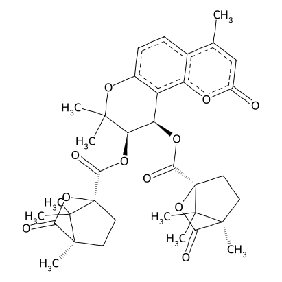 Cc1cc(=O)oc2c3c(ccc12)OC(C)(C)[C@H](OC(=O)[C@@]12CC[C@@](C)(C(=O)O1)C2(C)C)[C@@H]3OC(=O)[C@@]12CC[C@@](C)(C(=O)O1)C2(C)C